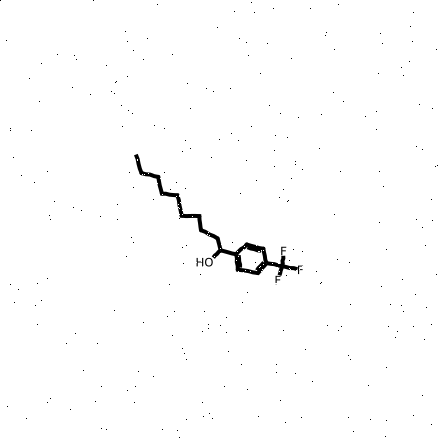 CCCCCCCCCC(O)c1ccc(C(F)(F)F)cc1